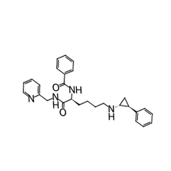 O=C(N[C@@H](CCCCN[C@@H]1C[C@H]1c1ccccc1)C(=O)NCc1ccccn1)c1ccccc1